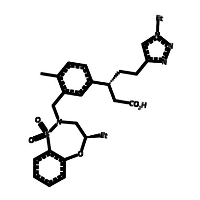 CC[C@@H]1CN(Cc2cc([C@H](CCc3cn(CC)nn3)CC(=O)O)ccc2C)S(=O)(=O)c2ccccc2O1